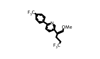 CO/C=C(/CCC(F)(F)F)c1ccc(-c2ccc(C(F)(F)F)cc2)nc1